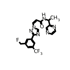 CC(NC(=O)/C=C\n1cnc(-c2cc(CF)cc(C(F)(F)F)c2)n1)c1cnccn1